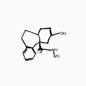 NNC(=O)C12CC(O)CCC1CCc1ccccc12